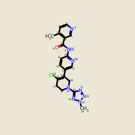 Cc1ccncc1C(=O)Nc1ccc(C2=C(Cl)CCN(c3nnn(C)n3)C2)cn1